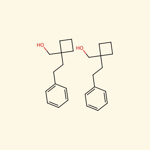 OCC1(CCc2ccccc2)CCC1.OCC1(CCc2ccccc2)CCC1